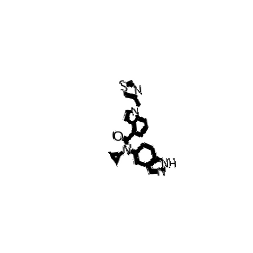 O=C(c1cccc2c1ccn2Cc1cscn1)N(C1CC1)C1CCc2[nH]ncc2C1